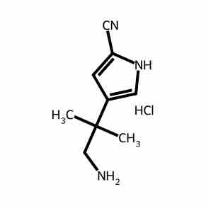 CC(C)(CN)c1c[nH]c(C#N)c1.Cl